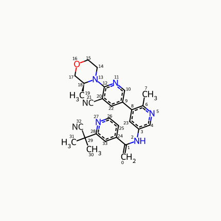 C=C(Nc1cnc(C)c(-c2cnc(N3CCOC[C@@H]3C)c(C#N)c2)c1)c1ccnc(C(C)(C)C#N)c1